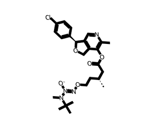 Cc1ncc2c(c1OC(=O)C[C@H](C)CCO/N=[N+](\[O-])N(C)C(C)(C)C)CO[C@H]2c1ccc(Cl)cc1